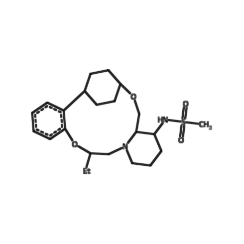 CCC1CN2CCCC(NS(C)(=O)=O)C2COC2CCC(CC2)c2ccccc2O1